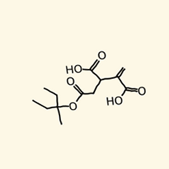 C=C(C(=O)O)C(CC(=O)OC(C)(CC)CC)C(=O)O